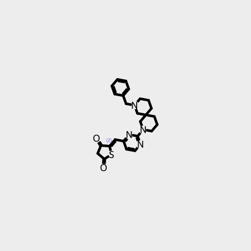 O=C1CC(=O)/C(=C/c2ccnc(N3CCCC4(CCCN(Cc5ccccc5)C4)C3)n2)S1